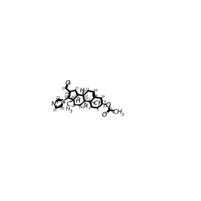 CC(=O)O[C@H]1CC[C@@]2(C)C(=CC[C@@H]3[C@@H]2CC[C@]2(C)C(n4ccnc4)=C(C=O)C[C@@H]32)C1